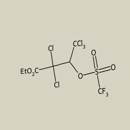 CCOC(=O)C(Cl)(Cl)C(OS(=O)(=O)C(F)(F)F)C(Cl)(Cl)Cl